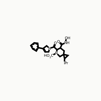 CC(C)C1CC12CC(C(=O)NO)C(C(=O)N1CC=C(c3ccccc3)C1)N(C(=O)O)C2